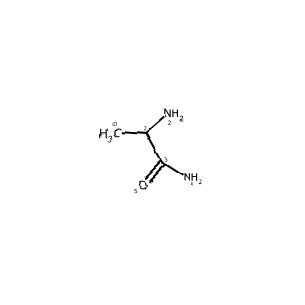 CC(N)C(N)=O